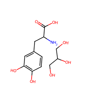 NC(Cc1ccc(O)c(O)c1)C(=O)O.OCC(O)CO